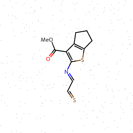 COC(=O)c1c(N=CC=S)sc2c1CCC2